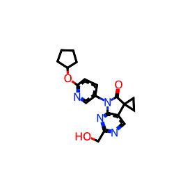 O=C1N(c2ccc(OC3CCCC3)nc2)c2nc(CO)ncc2C12CC2